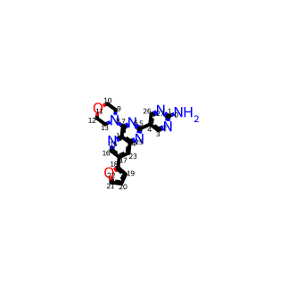 Nc1ncc(-c2nc(N3CCOCC3)c3ncc(-c4ccco4)cc3n2)cn1